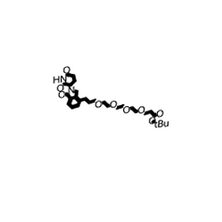 CC(C)(C)OC(=O)CCOCCOCCOCCOCCCc1cccc2c1CN(C1CCC(=O)NC1=O)C2=O